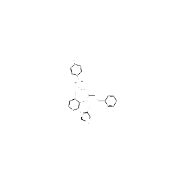 O=S(=O)(c1ccc(O)cc1)N1Cc2ccccc2N(Cc2c[nH]cn2)C(CCc2ccccc2)C1